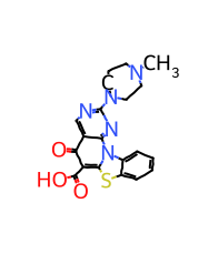 CN1CCCN(c2ncc3c(=O)c(C(=O)O)c4sc5ccccc5n4c3n2)CC1